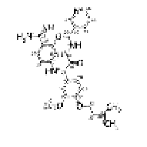 CCOc1cc(C(Nc2ccc(C(=N)N)cc2)C(=O)NNC(=O)c2cccnc2)ccc1OCCN(C)C